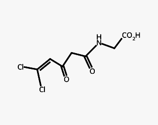 O=C(O)CNC(=O)CC(=O)C=C(Cl)Cl